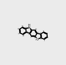 [c]1cccc2oc3cc4c(cc3c12)[nH]c1ccccc14